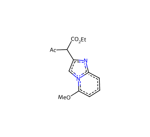 CCOC(=O)C(C(C)=O)c1cn2c(OC)cccc2n1